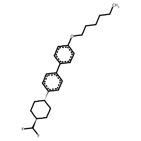 CCCCCCOc1ccc(-c2ccc([C@H]3CC[C@H](C(F)F)CC3)cc2)cc1